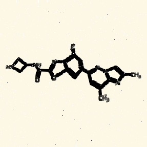 Cc1cn2nc(-c3cc(F)c4nc(C(=O)NC5CNC5)oc4c3)cc(C)c2n1